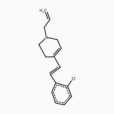 C=CCN1CC=C(C=Cc2ccccc2Cl)CC1